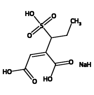 CCC(C(=CC(=O)O)C(=O)O)S(=O)(=O)O.[NaH]